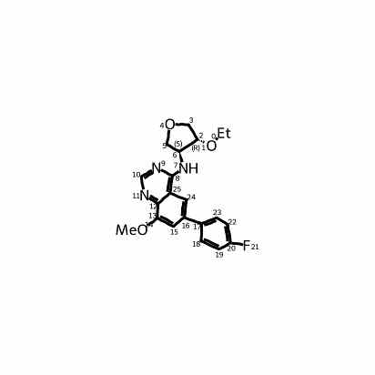 CCO[C@H]1COC[C@@H]1Nc1ncnc2c(OC)cc(-c3ccc(F)cc3)cc12